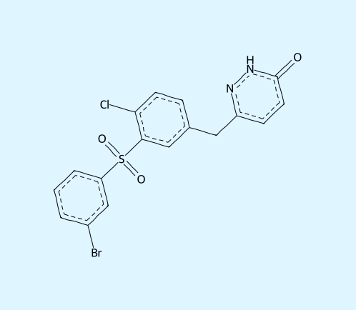 O=c1ccc(Cc2ccc(Cl)c(S(=O)(=O)c3cccc(Br)c3)c2)n[nH]1